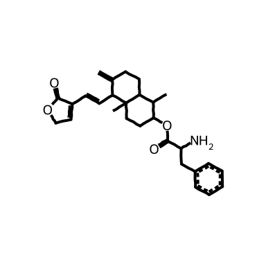 C=C1CCC2C(C)C(OC(=O)C(N)Cc3ccccc3)CCC2(C)C1/C=C/C1=CCOC1=O